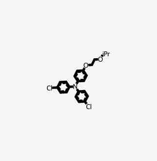 CC(C)OCCOc1ccc(N(c2ccc(Cl)cc2)c2ccc(Cl)cc2)cc1